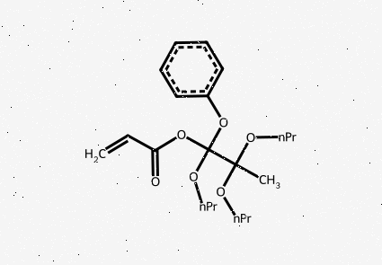 C=CC(=O)OC(OCCC)(Oc1ccccc1)C(C)(OCCC)OCCC